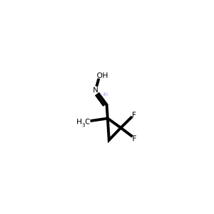 CC1(/C=N/O)CC1(F)F